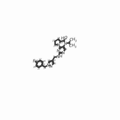 CC(C)N1c2cnc(NCc3cnn(Cc4ccc(F)cc4)c3)nc2N2CCCC2C1O